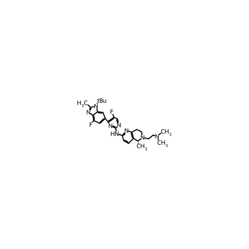 Cc1nc2c(F)cc(-c3nc(Nc4ccc5c(n4)CCN(CCN(C)C)[C@@H]5C)ncc3F)cc2n1C(C)(C)C